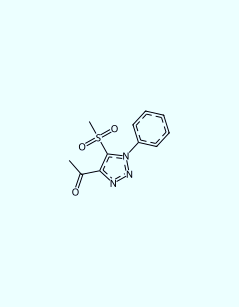 CC(=O)c1nnn(-c2ccccc2)c1S(C)(=O)=O